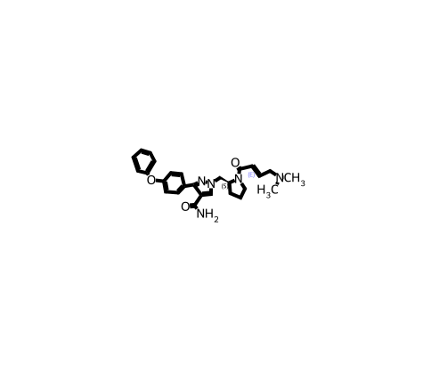 CN(C)C/C=C/C(=O)N1CCC[C@H]1Cn1cc(C(N)=O)c(-c2ccc(Oc3ccccc3)cc2)n1